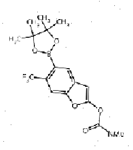 CNC(=O)Oc1cc2cc(B3OC(C)(C)C(C)(C)O3)c(C(F)(F)F)cc2o1